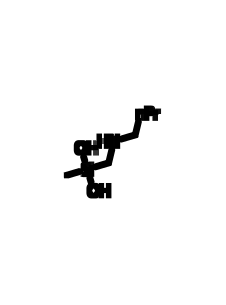 CCCCNC[Si](C)(O)O